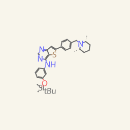 C[C@@H]1CCC[C@H](C)N1Cc1ccc(-c2cc3ncnc(Nc4cccc(O[Si](C)(C)C(C)(C)C)c4)c3s2)cc1